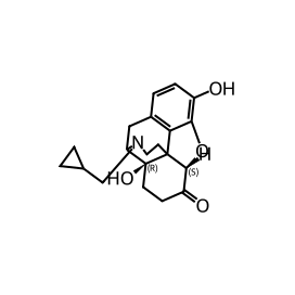 O=C1CC[C@]2(O)C3Cc4ccc(O)c5c4C2(CCN3CC2CC2)[C@@H]1O5